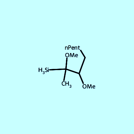 CCCCCCC(OC)C(C)([SiH3])OC